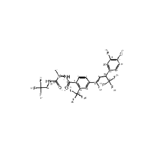 CN(NC(=O)c1ccc(/C(F)=C/C(c2ccc(Cl)c(F)c2)C(F)(F)F)cc1C(F)(F)F)C(=O)NCC(F)(F)F